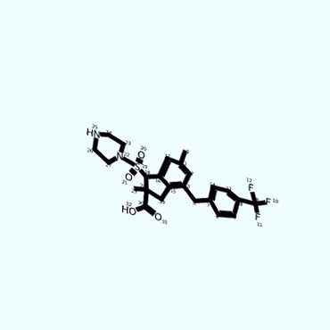 Cc1cc(Cc2ccc(C(F)(F)F)cc2)c2c(c1)C(S(=O)(=O)N1CCNCC1)C(C)(C(=O)O)C2